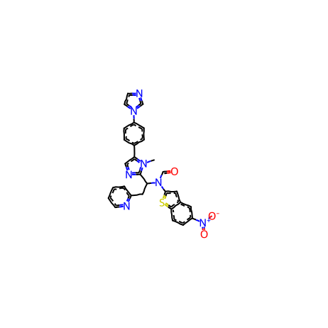 Cn1c(-c2ccc(-n3ccnc3)cc2)cnc1C(Cc1ccccn1)N(C=O)c1cc2cc([N+](=O)[O-])ccc2s1